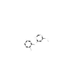 COc1cc(Oc2ccccc2C)ncn1